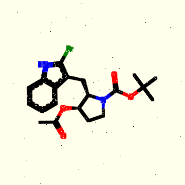 CC(=O)O[C@@H]1CCN(C(=O)OC(C)(C)C)[C@@H]1Cc1c(Br)[nH]c2ccccc12